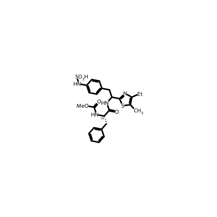 CCc1nc(C(Cc2ccc(NS(=O)(=O)O)cc2)NC(=O)[C@H](Cc2ccccc2)NC(=O)OC)sc1C